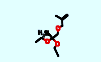 C=C(C)COCC([SiH3])(OCC)OCC